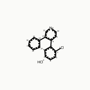 Cl.Clc1ccccc1-c1ccncc1-c1ccccc1